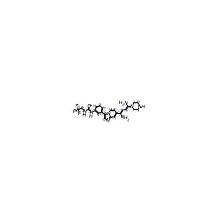 N/C(=C\C=C(/N)N1CCNCC1)c1ccn2c(-c3cccc(NC(=O)NCC(F)(F)F)c3)cnc2c1